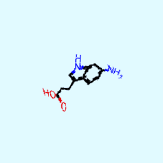 Nc1ccc2c(CCC(=O)O)c[nH]c2c1